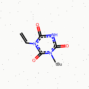 C=Cn1c(=O)[nH]c(=O)n(C(C)(C)C)c1=O